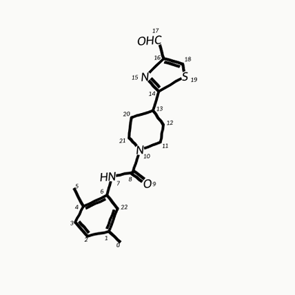 Cc1ccc(C)c(NC(=O)N2CCC(c3nc(C=O)cs3)CC2)c1